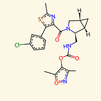 Cc1nc(C(=O)N2C[C@@H]3C[C@@H]3[C@H]2CNC(=O)Oc2c(C)noc2C)c(-c2cccc(Cl)c2)s1